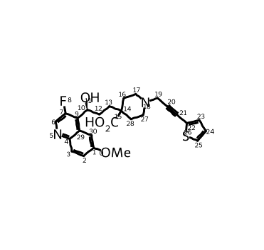 COc1ccc2ncc(F)c([C@@H](O)CCC3(C(=O)O)CCN(CC#Cc4cccs4)CC3)c2c1